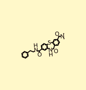 CN(C)C(=O)c1ccc2c(c1)Sc1ccc(C(=O)NCCc3ccccc3)cc1NC2=O